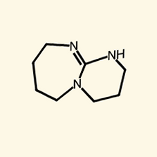 C1CCN2CCCNC2=NC1